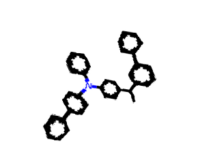 CC(c1ccc(N(c2ccccc2)c2ccc(-c3ccccc3)cc2)cc1)c1cccc(-c2ccccc2)c1